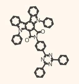 O=C1c2c(c3c(c4ccccc4n3-c3ccccc3)c3c4ccccc4n(-c4ccccc4)c23)C(=O)N1c1ccc(-c2nc(-c3ccccc3)nc(-c3ccccc3)n2)cc1